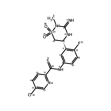 CN1C(=N)N[C@H](c2cc(NC(=S)c3ccc(Cl)cn3)ccc2F)CS1(=O)=O